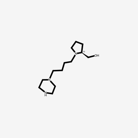 OC[C@@H]1CCCN1CCCCN1CCNCC1